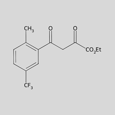 CCOC(=O)C(=O)CC(=O)c1cc(C(F)(F)F)ccc1C